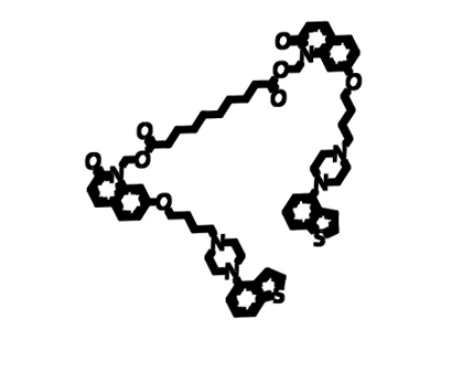 O=C(CCCCCCCCC(=O)OCn1c(=O)ccc2ccc(OCCCCN3CCN(c4cccc5sccc45)CC3)cc21)OCn1c(=O)ccc2ccc(OCCCCN3CCN(c4cccc5sccc45)CC3)cc21